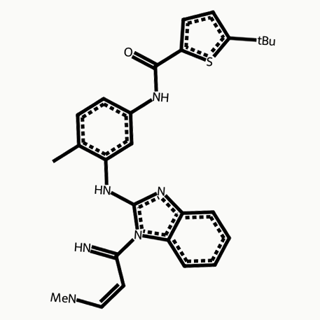 CN/C=C\C(=N)n1c(Nc2cc(NC(=O)c3ccc(C(C)(C)C)s3)ccc2C)nc2ccccc21